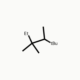 CCC(C)(C)C(C)C(C)(C)C